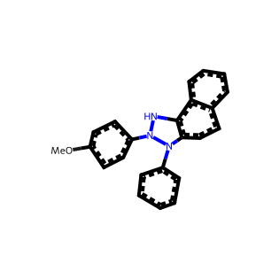 COc1ccc(N2Nc3c(ccc4ccccc34)N2c2ccccc2)cc1